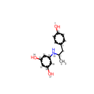 CC(Cc1ccc(O)cc1)Nc1cc(O)cc(O)c1